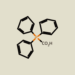 O=C(O)[P](c1ccccc1)(c1ccccc1)c1ccccc1